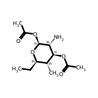 CC[C@H]1O[C@@H](OC(C)=O)[C@H](N)[C@@H](OC(C)=O)[C@@H]1C